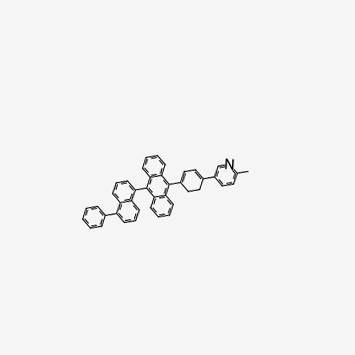 Cc1ccc(C2=CC=C(c3c4ccccc4c(-c4cccc5c(-c6ccccc6)cccc45)c4ccccc34)CC2)cn1